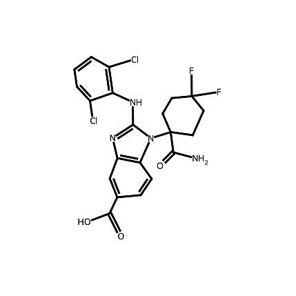 NC(=O)C1(n2c(Nc3c(Cl)cccc3Cl)nc3cc(C(=O)O)ccc32)CCC(F)(F)CC1